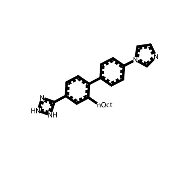 CCCCCCCCc1cc(-c2n[nH][nH]2)ccc1-c1ccc(-n2ccnc2)cc1